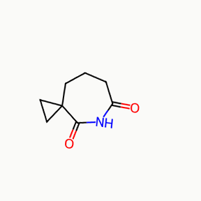 O=C1CCCC2(CC2)C(=O)N1